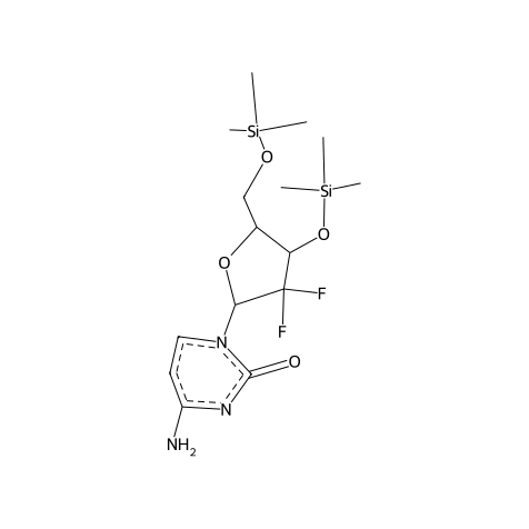 C[Si](C)(C)OCC1OC(n2ccc(N)nc2=O)C(F)(F)C1O[Si](C)(C)C